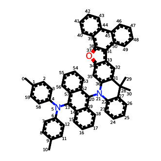 Cc1ccc(N(c2ccc(C)cc2)c2c3ccccc3c(N3c4ccccc4C(C)(C)c4cc5c(cc43)oc3c4ccccc4c4ccccc4c53)c3ccccc23)cc1